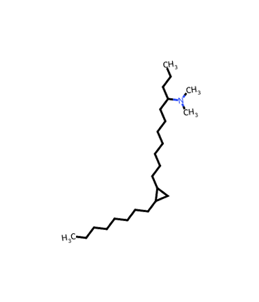 CCCCCCCCC1CC1CCCCCCCC(CCC)N(C)C